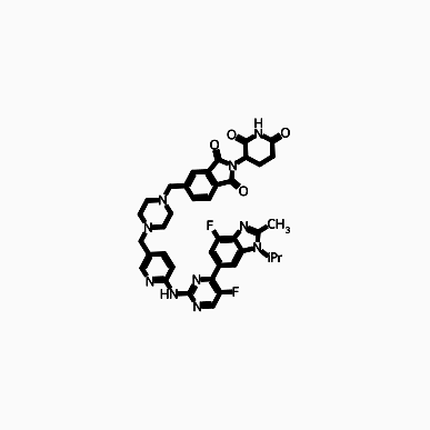 Cc1nc2c(F)cc(-c3nc(Nc4ccc(CN5CCN(Cc6ccc7c(c6)C(=O)N(C6CCC(=O)NC6=O)C7=O)CC5)cn4)ncc3F)cc2n1C(C)C